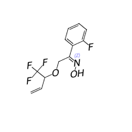 C=CC(OC/C(=N\O)c1ccccc1F)C(F)(F)F